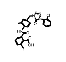 Cc1cc(Cn2nnn(-c3ccccc3Cl)c2=O)ccc1NC(=O)c1cccc(I)c1C(=O)O